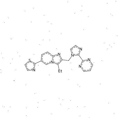 CCc1c(Cn2ccnc2-c2ncccn2)nc2ccc(-c3nccs3)cn12